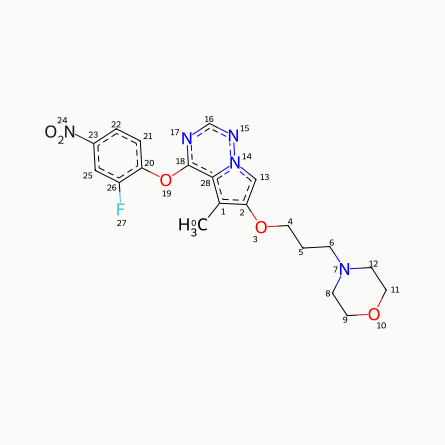 Cc1c(OCCCN2CCOCC2)cn2ncnc(Oc3ccc([N+](=O)[O-])cc3F)c12